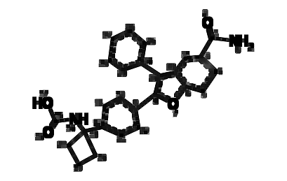 NC(=O)c1ccc2oc(-c3ccc(C4(NC(=O)O)CCC4)cc3)c(-c3ccccc3)c2c1